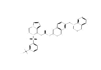 O=C(CC1c2cccn2CCN1S(=O)(=O)c1cccc(C(F)(F)F)c1)NC1CCc2cc(CN3CCCc4ccccc43)ccc2C1